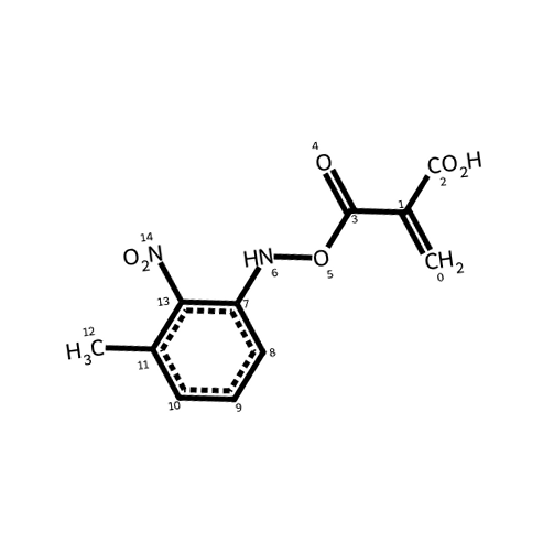 C=C(C(=O)O)C(=O)ONc1cccc(C)c1[N+](=O)[O-]